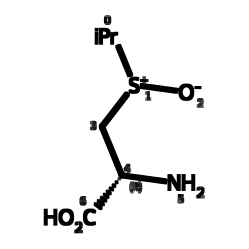 CC(C)[S+]([O-])C[C@H](N)C(=O)O